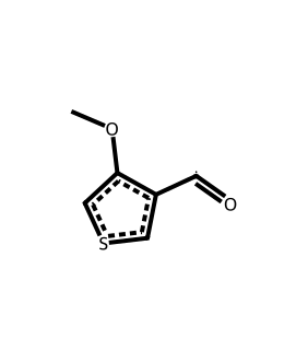 COc1cscc1[C]=O